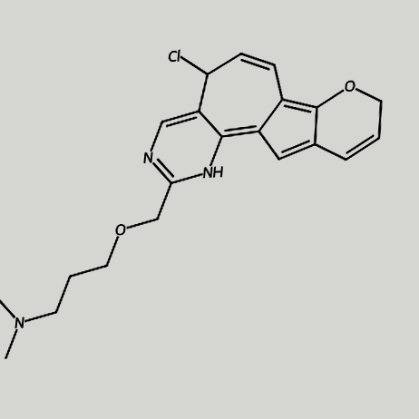 CN(C)CCCOCC1=NC=C2C(=C3C=C4C=CCOC4=C3C=CC2Cl)N1